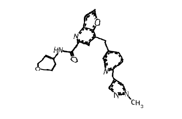 Cn1cc(-c2ccc(Cc3cc(C(=O)NC4CCOCC4)nc4ccoc34)cn2)cn1